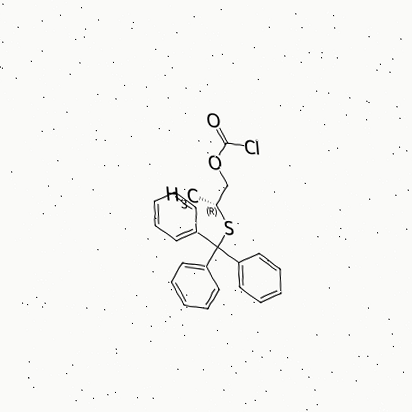 C[C@H](COC(=O)Cl)SC(c1ccccc1)(c1ccccc1)c1ccccc1